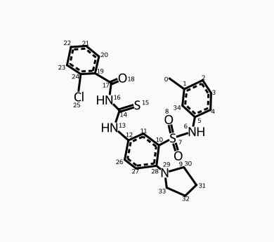 Cc1cccc(NS(=O)(=O)c2cc(NC(=S)NC(=O)c3ccccc3Cl)ccc2N2CCCC2)c1